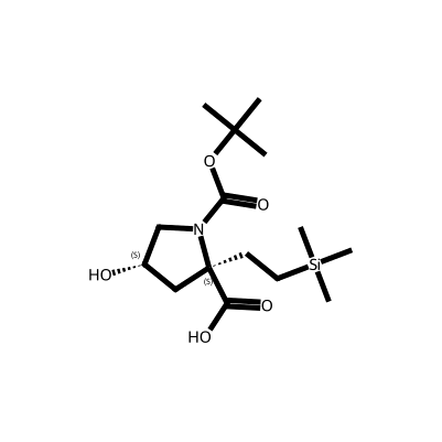 CC(C)(C)OC(=O)N1C[C@@H](O)C[C@]1(CC[Si](C)(C)C)C(=O)O